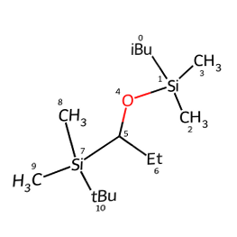 CCC(C)[Si](C)(C)OC(CC)[Si](C)(C)C(C)(C)C